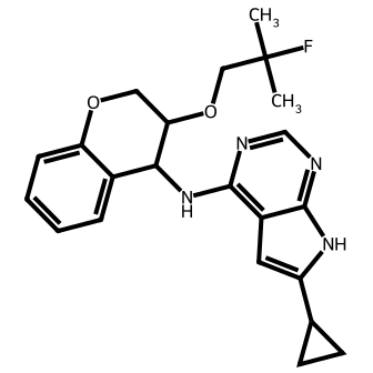 CC(C)(F)COC1COc2ccccc2C1Nc1ncnc2[nH]c(C3CC3)cc12